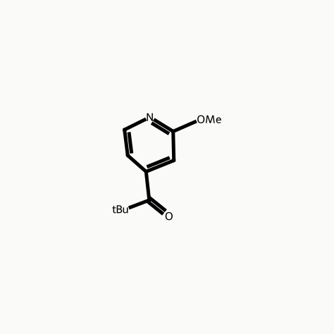 COc1cc(C(=O)C(C)(C)C)ccn1